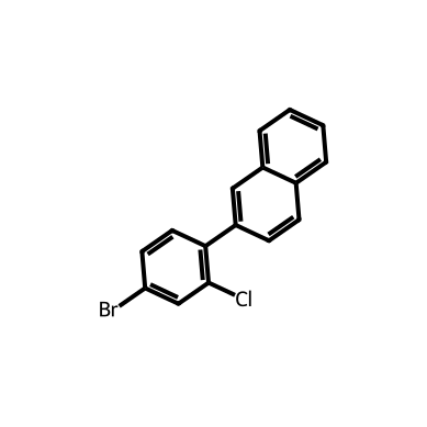 Clc1cc(Br)ccc1-c1ccc2ccccc2c1